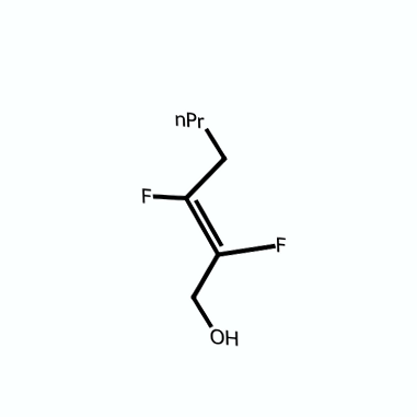 CCCC/C(F)=C(\F)CO